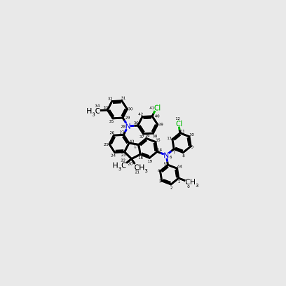 Cc1cccc(N(c2cccc(Cl)c2)c2ccc3c(c2)C(C)(C)c2cccc(N(c4cccc(C)c4)c4cccc(Cl)c4)c2-3)c1